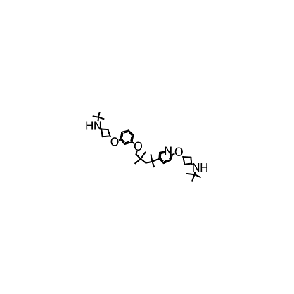 CC(C)(COc1cccc(O[C@H]2C[C@@H](NC(C)(C)C)C2)c1)CC(C)(C)c1ccc(O[C@H]2C[C@H](NC(C)(C)C)C2)nc1